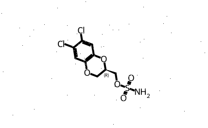 NS(=O)(=O)OC[C@H]1COc2cc(Cl)c(Cl)cc2O1